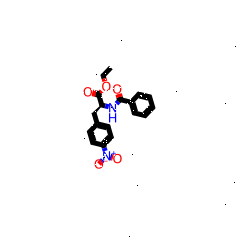 CCOC(=O)[C@H](Cc1ccc([N+](=O)[O-])cc1)NC(=O)c1ccccc1